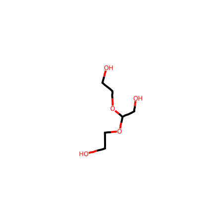 OCCOC(CO)OCCO